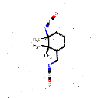 CC1(N=C=O)CCCC(CN=C=O)C1(C)C